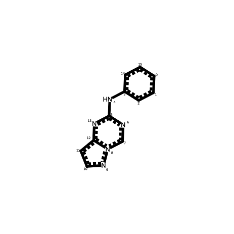 c1ccc(Nc2ncn3nccc3n2)cc1